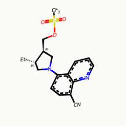 CC[C@H]1CN(c2ccc(C#N)c3ncccc23)C[C@@H]1COS(=O)(=O)C(F)(F)F